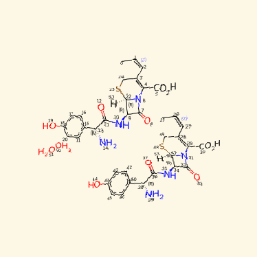 C/C=C\C1=C(C(=O)O)N2C(=O)[C@@H](NC(=O)[C@H](N)c3ccc(O)cc3)[C@H]2SC1.C/C=C\C1=C(C(=O)O)N2C(=O)[C@@H](NC(=O)[C@H](N)c3ccc(O)cc3)[C@H]2SC1.O.O